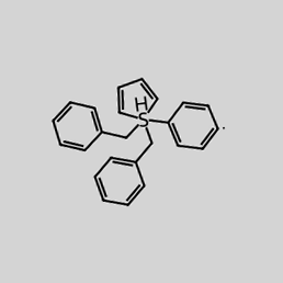 [c]1ccc([SH]2(Cc3ccccc3)(Cc3ccccc3)C=CC=C2)cc1